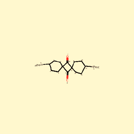 CCCCCC1CCC2(CC1)C(=O)C1(CCC(CCCCC)CC1)C2=O